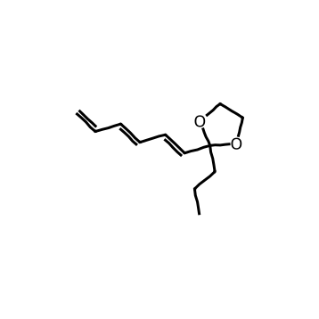 C=C/C=C/C=CC1(CCC)OCCO1